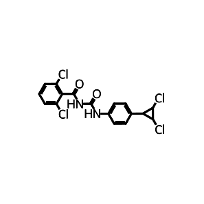 O=C(NC(=O)c1c(Cl)cccc1Cl)Nc1ccc(C2C(Cl)C2Cl)cc1